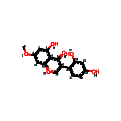 COc1cc(O)c2c(=O)c(-c3ccc(O)cc3O)coc2c1